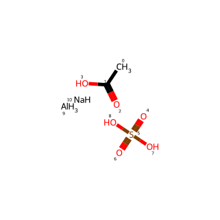 CC(=O)O.O=S(=O)(O)O.[AlH3].[NaH]